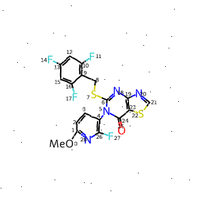 COc1ccc(-n2c(SCc3c(F)cc(F)cc3F)nc3ncsc3c2=O)c(F)n1